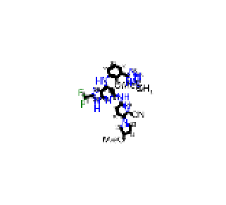 COc1c(Nc2cc(Nc3ccc(N4CCC(OC)C4)c(C#N)n3)nc3[nH]c(C(F)F)nc23)cccc1-c1nnn(C)n1